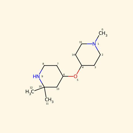 CN1CCC(OC2CCNC(C)(C)C2)CC1